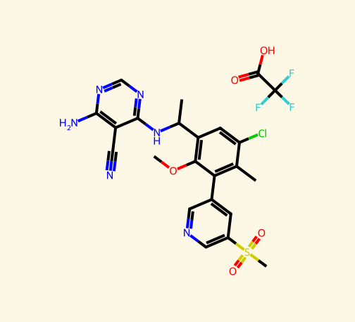 COc1c(C(C)Nc2ncnc(N)c2C#N)cc(Cl)c(C)c1-c1cncc(S(C)(=O)=O)c1.O=C(O)C(F)(F)F